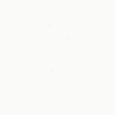 CN(C)C1(C#N)CCC(c2ccccc2)(N(C)C)CC1